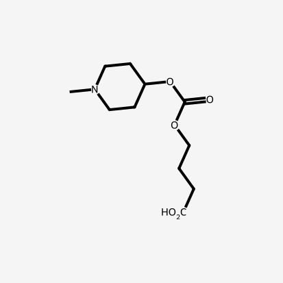 CN1CCC(OC(=O)OCCCC(=O)O)CC1